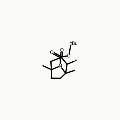 CC(C)(C)OC(=O)N1C2(C)CCC1(C)C(F)C(=O)C2